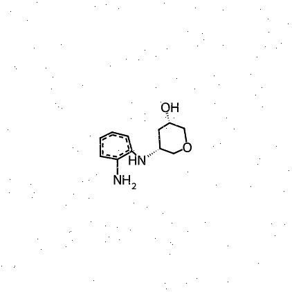 Nc1ccccc1N[C@H]1COC[C@@H](O)C1